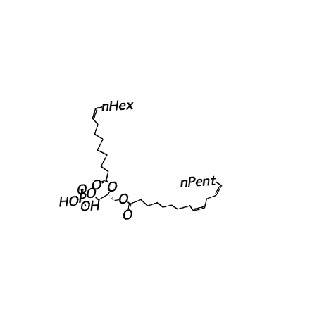 CCCCC/C=C\C/C=C\CCCCCCCC(=O)OC[C@H](COP(=O)(O)O)OC(=O)CCCCCCC/C=C\CCCCCC